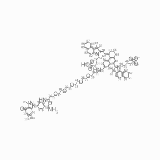 Cc1nn(-c2ccc(C(N)=O)c(NCCCOCCOCCOCCOCCOCCCNCc3ccc(C4=C(/C=C/C5=[N+](CCCCS(=O)(=O)[O-])c6c(ccc7ccccc67)C5(C)C)CCC/C4=C\C=C4/N(CCCCS(=O)(=O)O)c5ccc6ccccc6c5C4(C)C)cc3)c2)c2c1C(=O)CC(C)(C)C2